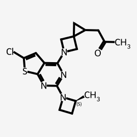 CC(=O)CC1CC12CN(c1nc(N3CC[C@@H]3C)nc3sc(Cl)cc13)C2